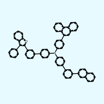 c1ccc(-c2c(-c3cccc(-c4ccc(N(c5ccc(-c6cccc(-c7ccc8ccccc8c7)c6)cc5)c5ccc(-c6cc7ccccc7c7ccccc67)cc5)cc4)c3)oc3ccccc23)cc1